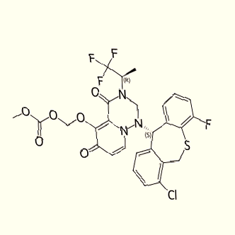 COC(=O)OCOc1c2n(ccc1=O)N([C@H]1c3cccc(Cl)c3CSc3c(F)cccc31)CN([C@H](C)C(F)(F)F)C2=O